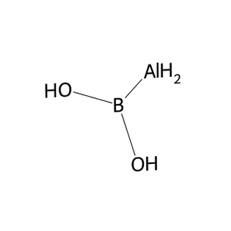 O[B](O)[AlH2]